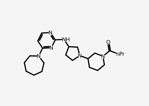 CCCC(=O)N1CCCC(N2CCC(Nc3nccc(N4CCCCCC4)n3)C2)C1